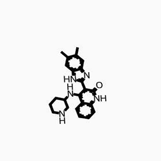 Cc1cc2nc(-c3c(NC4CCCNC4)c4ccccc4[nH]c3=O)[nH]c2cc1C